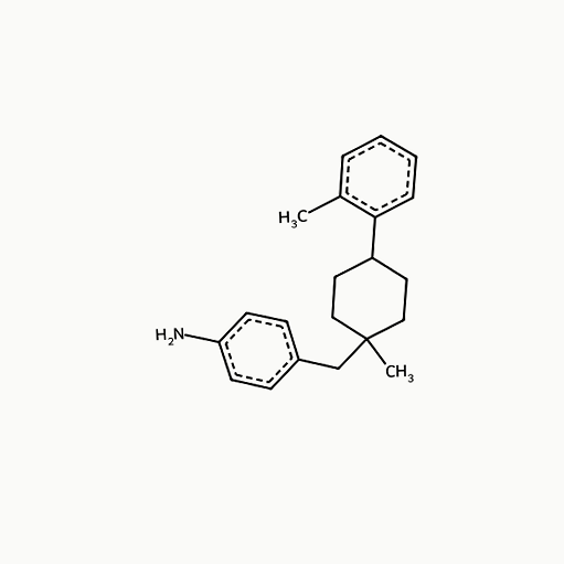 Cc1ccccc1C1CCC(C)(Cc2ccc(N)cc2)CC1